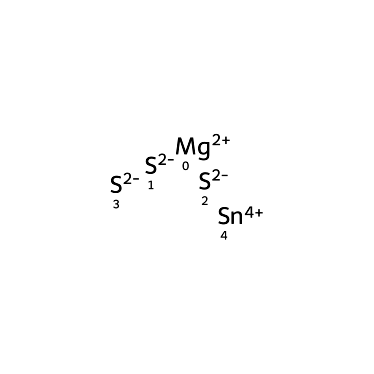 [Mg+2].[S-2].[S-2].[S-2].[Sn+4]